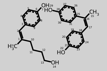 C/C(=C/c1ccc(O)cc1)CCCCO.C/C(=C/c1ccc(O)cc1)c1ccc(O)cc1